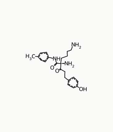 Cc1ccc(NC(=O)[C@](N)(CCCCN)C(=O)CCc2ccc(O)cc2)cc1